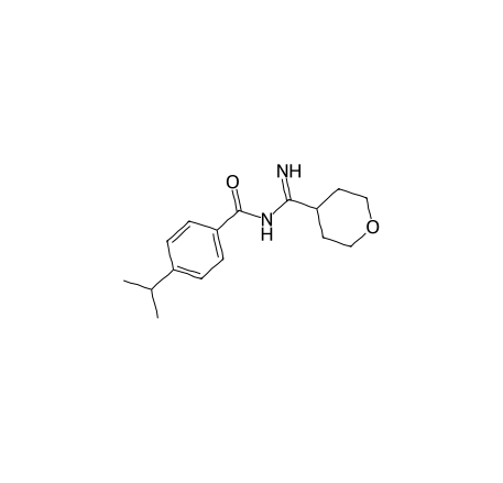 CC(C)c1ccc(C(=O)NC(=N)C2CCOCC2)cc1